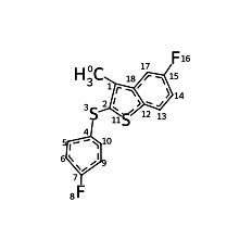 Cc1c(Sc2ccc(F)cc2)sc2ccc(F)cc12